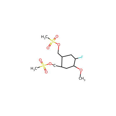 COC1CC(COS(C)(=O)=O)C(COS(C)(=O)=O)CC1F